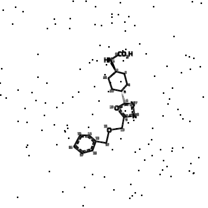 O=C(O)N[C@H]1CC[C@H](c2nnc(COCc3ccccc3)o2)CC1